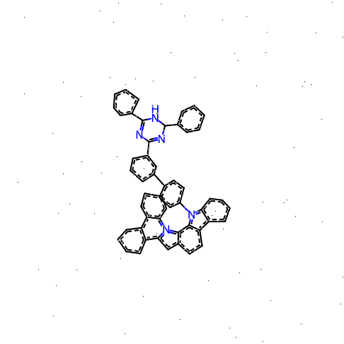 c1ccc(C2=NC(c3cccc(-c4ccc(-n5c6ccccc6c6ccc7cc8c9ccccc9c9ccccc9n8c7c65)cc4)c3)=NC(c3ccccc3)N2)cc1